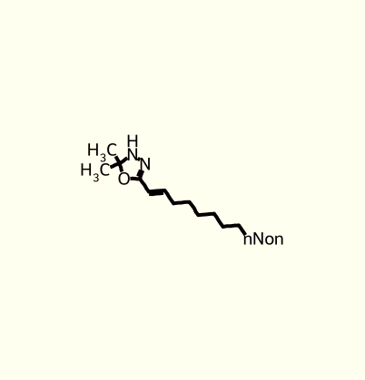 CCCCCCCCCCCCCCC/C=C/C1=NNC(C)(C)O1